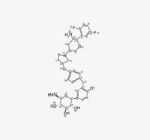 CS[C@H]1O[C@@H](c2ccc(Cl)c(Cc3ccc(OC4CCN(C5COC(c6cc(F)ccc6F)C(N)C5)C4)cc3)c2)[C@H](O)[C@@H](O)[C@@H]1O